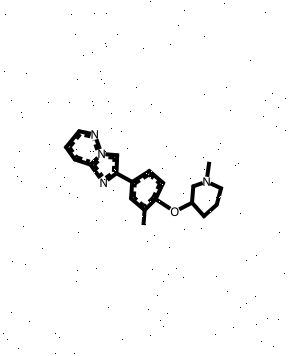 Cc1cc(-c2cn3ncccc3n2)ccc1OC1CCCN(C)C1